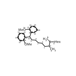 CCCCCCC(C)C(C)CCCCCC(c1ccccc1OC)c1ccccc1OC